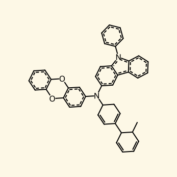 CC1C=CC=CC1C1=CCC(N(c2ccc3c(c2)Oc2ccccc2O3)c2ccc3c(c2)c2ccccc2n3-c2ccccc2)C=C1